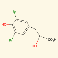 O=C(O)C(O)Cc1cc(Br)c(O)c(Br)c1